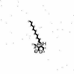 CCCCCCCCCC=CNC(CC)C(C(=O)[O-])[N+](C)(C)C